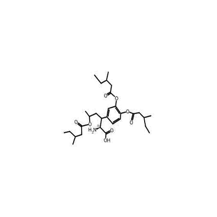 CCC(C)CC(=O)Oc1ccc(C(CC(C)OC(=O)CC(C)CC)[C@H](N)C(=O)O)cc1OC(=O)CC(C)CC